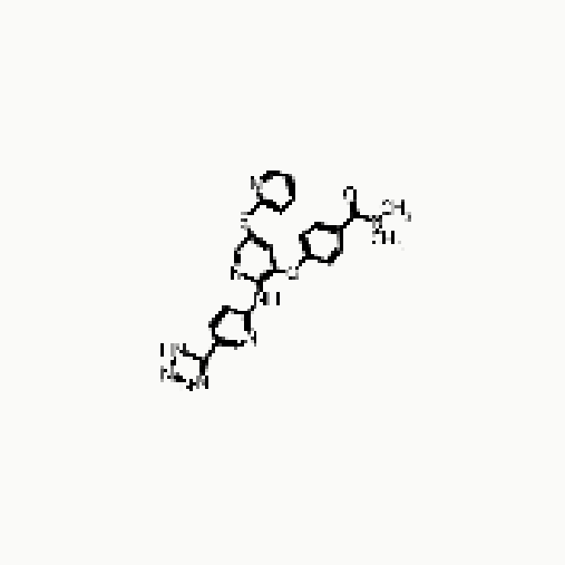 CN(C)C(=O)c1ccc(Oc2cc(Sc3ccccn3)cnc2Nc2ccc(-c3nnn[nH]3)cn2)cc1